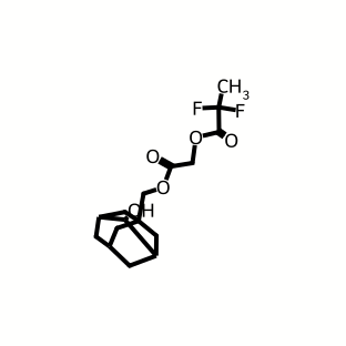 CC(F)(F)C(=O)OCC(=O)OCC12CC3CC(C1)C(O)C(C3)C2